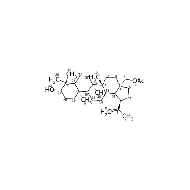 C=C(C)[C@@H]1CC[C@]2(COC(C)=O)CC[C@]3(C)C(CCC4[C@@]5(C)CC[C@H](O)C(C)(C)C5CC[C@]43C)C12